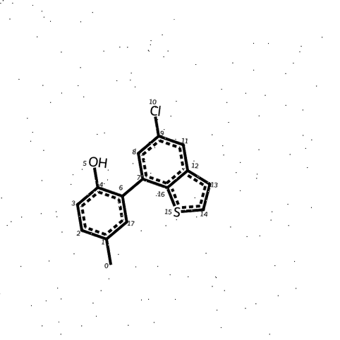 Cc1ccc(O)c(-c2cc(Cl)cc3ccsc23)c1